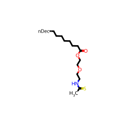 CCCCCCCCCCCCCCCCCC(=O)OCCOCCNC(C)=S